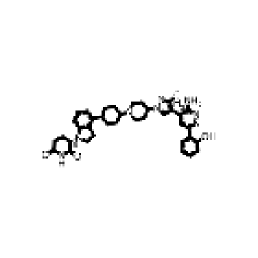 Cc1nn(C2CCN(C3CCC(c4cccc5c4CCN5[C@H]4CCC(=O)NC4=O)CC3)CC2)cc1-c1cc(-c2ccccc2O)nnc1N